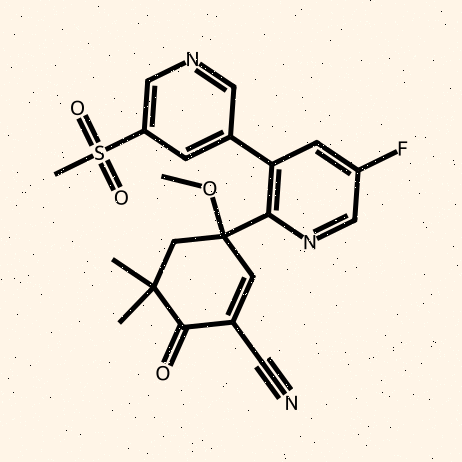 COC1(c2ncc(F)cc2-c2cncc(S(C)(=O)=O)c2)C=C(C#N)C(=O)C(C)(C)C1